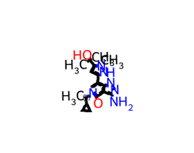 C[C@H](C1CC1)n1cc(-c2cc(C(C)(C)O)n(C)n2)c2[nH]nc(N)c2c1=O